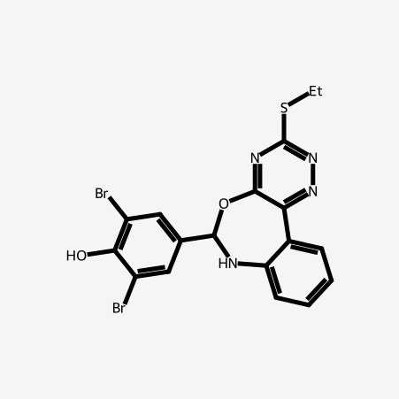 CCSc1nnc2c(n1)OC(c1cc(Br)c(O)c(Br)c1)Nc1ccccc1-2